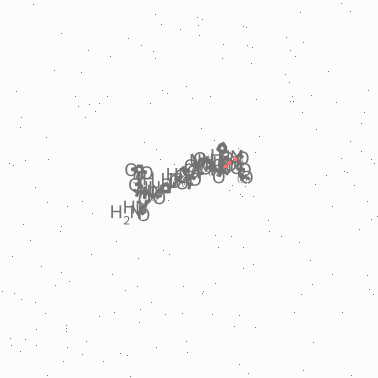 C=C(C(=O)N[C@@H](C)C(=O)N(C)[C@@H](C)C(=O)N[C@H](C(=O)NC)[C@H](OC(=O)[C@@H](NC(C)=O)[C@H](O[PH](=O)OCc1ccc(NC(=O)[C@H](CCCNC(N)=O)NC(=O)[C@@H](NC(=O)CCN2C(=O)C=CC2=O)C(C)C)cc1)C(C)C)C(C)C)N(C)C(=O)[C@@H](Cc1ccccc1)OC(=O)[C@@H](NC(C)=O)[C@@H](C)OC(=O)C[C@@H](C)OC